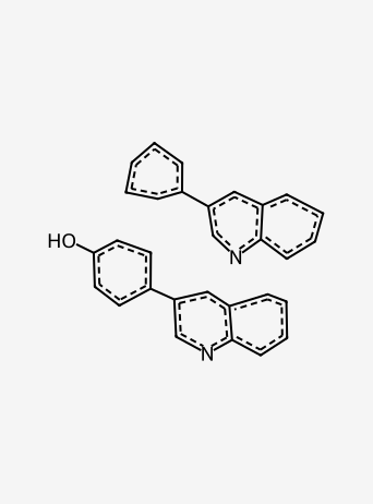 Oc1ccc(-c2cnc3ccccc3c2)cc1.c1ccc(-c2cnc3ccccc3c2)cc1